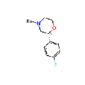 CC(C)(C)N1CCO[C@H](c2ccc(F)cc2)C1